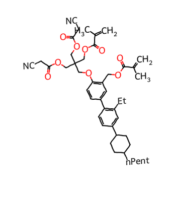 C=C(C)C(=O)OCc1cc(-c2ccc(C3CCC(CCCCC)CC3)cc2CC)ccc1OCC(COC(=O)CC#N)(COC(=O)CC#N)COC(=O)C(=C)C